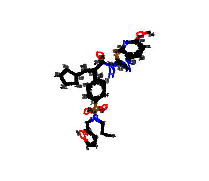 CCCN(Cc1ccco1)S(=O)(=O)c1ccc(C(CC2CCCC2)C(=O)Nc2nc3ccc(OC)nc3s2)cc1